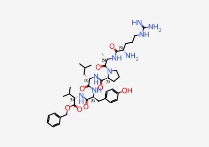 CC(C)C[C@H](NC(=O)[C@@H]1CCCN1C(=O)[C@H](C)NC(=O)[C@@H](N)CCCNC(=N)N)C(=O)N[C@@H](Cc1ccc(O)cc1)C(=O)N[C@H](C(=O)OCc1ccccc1)C(C)C